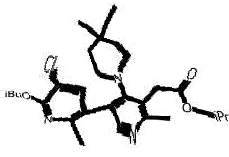 Cc1nc(OCC(C)C)c(Cl)cc1-c1cnc(C)c(CC(=O)OC(C)C)c1N1CCC(C)(C)CC1